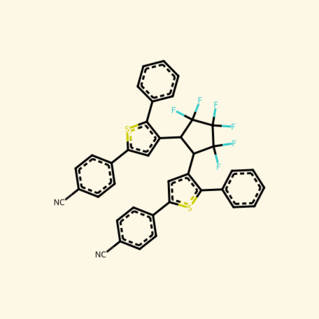 N#Cc1ccc(-c2cc(C3C(c4cc(-c5ccc(C#N)cc5)sc4-c4ccccc4)C(F)(F)C(F)(F)C3(F)F)c(-c3ccccc3)s2)cc1